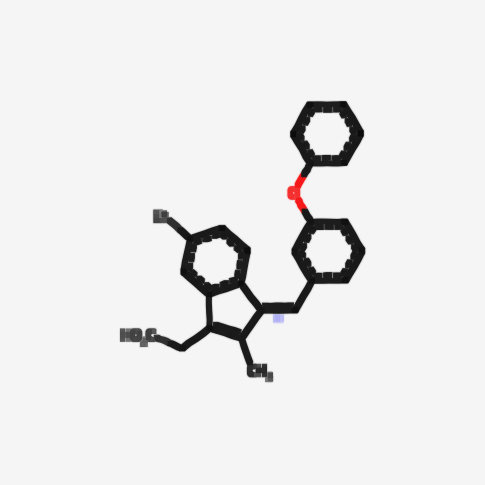 CCc1ccc2c(c1)C(CC(=O)O)=C(C)/C2=C/c1cccc(Oc2ccccc2)c1